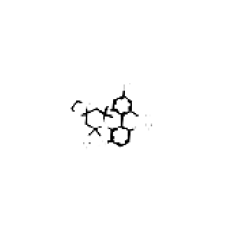 COc1ccc(OC)c(P2C(C)(C)CC3(CC2(C)C)OCCO3)c1-c1c(C(C)C)cc(C(C)C)cc1C(C)C